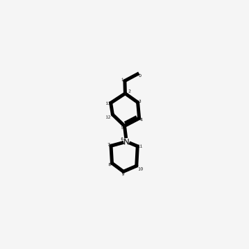 CCC1CC=C(N2CCCCC2)CC1